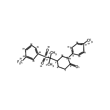 CC(C)(C1CCC(=O)N(c2ccc(C(F)(F)F)cn2)C1)S(=O)(=O)c1cccc(C(F)(F)F)c1